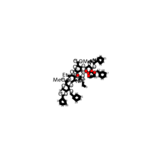 C=CCOC(=O)OC1[C@H](O[C@@H]2C(CC)O[C@@H](O[C@H]3C(C(=O)OC)O[C@H](C)C(OC(=O)c4ccccc4)[C@H]3OCc3ccccc3)C3NC(=O)O[C@H]32)OC(C(=O)OC)[C@@H](O[C@H]2OC(CC)[C@@H](OCc3ccccc3)[C@@H](OCc3ccccc3)C2N=[N+]=[N-])[C@H]1OCc1ccccc1